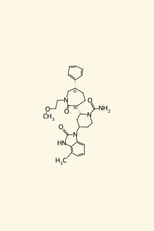 COCCN1C[C@H](c2ccccc2)CC[C@H](C2CC(n3c(=O)[nH]c4c(C)cccc43)CCN2C(N)=O)C1=O